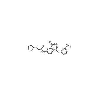 Cc1cccc(Cc2n[nH]c(=O)c3cc(NC(=O)CCC4CCCC4)ccc23)c1